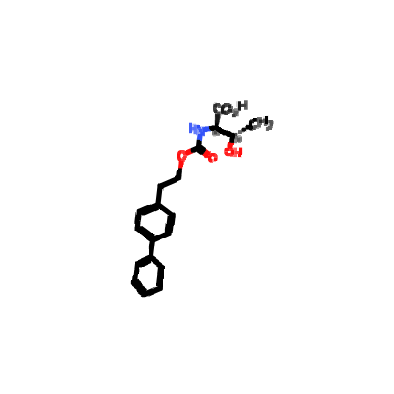 C[C@H](O)[C@@H](NC(=O)OCCc1ccc(-c2ccccc2)cc1)C(=O)O